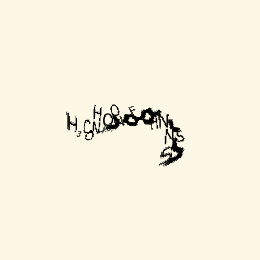 CC(=O)NC[C@H]1CN(c2ccc(-c3ccc(CNCc4csc(C5=CCCS5)n4)cc3)c(F)c2)C(=O)O1